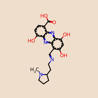 CN1CCCC1CCN=Cc1c(O)cc(O)c2nc3c(C(=O)O)ccc(O)c3nc12